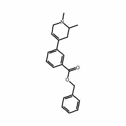 CC1CC(c2cccc(C(=O)OCc3ccccc3)c2)=CCN1C